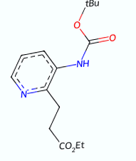 CCOC(=O)CCc1ncccc1NC(=O)OC(C)(C)C